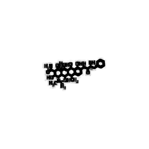 CC1c2ccc(NC(=O)[C@@H](N)Cc3ccccc3)c(O)c2C(=O)C2=C(O)C3(O)C(=O)C(C(N)=O)=C(O)[C@@H](N(C)C)C3C(O)C21